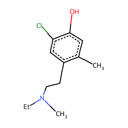 CCN(C)CCc1cc(Cl)c(O)cc1C